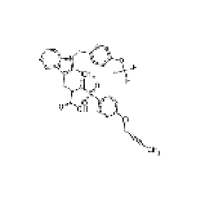 CC#CCOc1ccc(S(=O)(=O)NC(Cc2c(C)n(Cc3ccc(OC(F)(F)F)cc3)c3ccccc23)C(=O)O)cc1